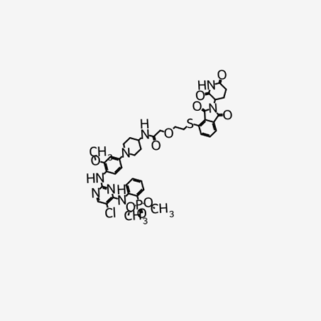 COc1cc(N2CCC(NC(=O)COCCSc3cccc4c3C(=O)N(C3CCC(=O)NC3=O)C4=O)CC2)ccc1Nc1ncc(Cl)c(Nc2ccccc2P(=O)(OC)OC)n1